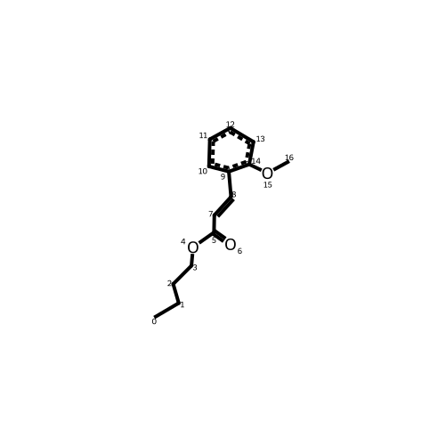 CCCCOC(=O)C=Cc1ccccc1OC